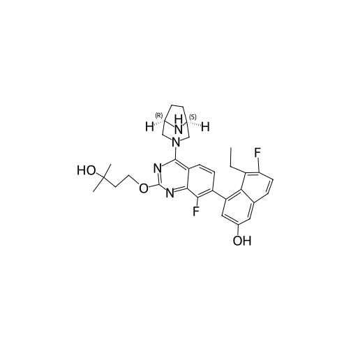 CCc1c(F)ccc2cc(O)cc(-c3ccc4c(N5C[C@H]6CC[C@@H](C5)N6)nc(OCCC(C)(C)O)nc4c3F)c12